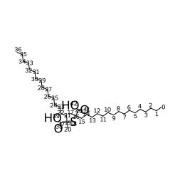 CCCCCCCCCCCCCCCCC(C)(SC(C)(CCCCCCCCCCCCCCCC)C(=O)O)C(=O)O